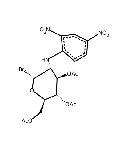 CC(=O)OC[C@H]1O[C@H](Br)[C@H](Nc2ccc([N+](=O)[O-])cc2[N+](=O)[O-])[C@@H](OC(C)=O)[C@@H]1OC(C)=O